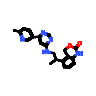 Cc1ccc(-c2cc(NCC(C)c3cccc4c3COC(=O)N4)ncn2)cn1